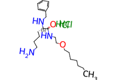 CCCCCCCOCCNC(=O)[C@H](CCCCN)NCc1ccccc1.Cl.Cl